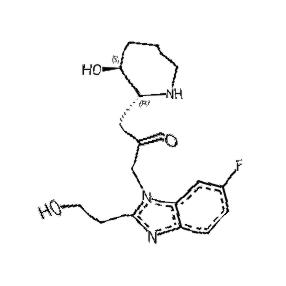 O=C(C[C@H]1NCCC[C@@H]1O)Cn1c(CCO)nc2ccc(F)cc21